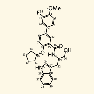 COc1ccc(-c2ccc(OC3CCCC3)c(C(=O)N[C@@H](CO)Cc3c[nH]c4ccccc34)c2)cc1F